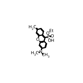 C=c1ccc2c(c1)Oc1cc(N(C)C)ccc1C=2P(=O)(O)OCC